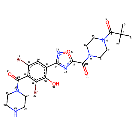 CC(C)(C)C(=O)N1CCN(C(=O)c2nc(-c3cc(Br)c(C(=O)N4CCNCC4)c(Br)c3O)no2)CC1